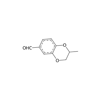 CC1COc2cc(C=O)ccc2O1